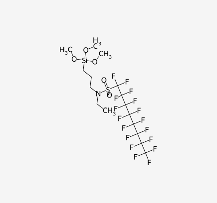 CCN(CCC[Si](OC)(OC)OC)S(=O)(=O)C(F)(F)C(F)(F)C(F)(F)C(F)(F)C(F)(F)C(F)(F)C(F)(F)C(F)(F)F